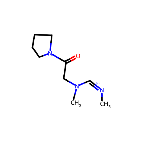 C/N=C\N(C)CC(=O)N1CCCC1